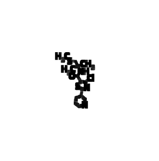 CSCC(C)(C)NC(=O)c1sc(-c2cccnc2)nc1Cl